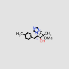 COC(C)(C)C(O)/C(=C/c1ccc(C)cc1)n1cncn1